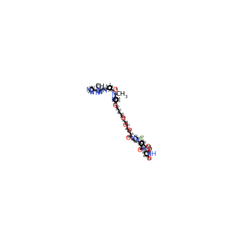 C[C@@H](NC(=O)c1cccc(NCc2nnc(-c3ccncn3)n2C)c1)c1ccc(OCCCCCCOCCOCCOCCC(=O)N2CCN(c3cc4c(cc3F)C(=O)N(C3CCC(=O)NC3=O)C4=O)CC2)cc1